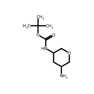 CC(C)(C)OC(=O)NC1COCC(N)C1